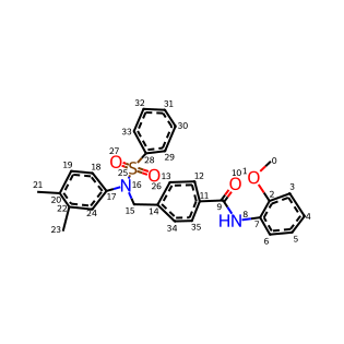 COc1ccccc1NC(=O)c1ccc(CN(c2ccc(C)c(C)c2)S(=O)(=O)c2ccccc2)cc1